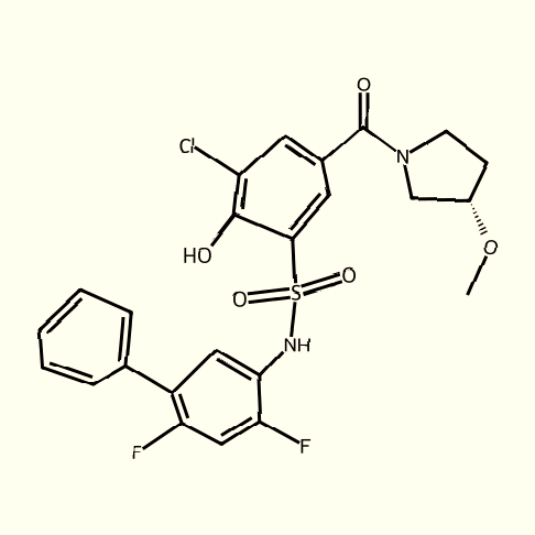 CO[C@H]1CCN(C(=O)c2cc(Cl)c(O)c(S(=O)(=O)Nc3cc(-c4ccccc4)c(F)cc3F)c2)C1